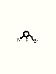 N#Cc1cccc(CCBr)c1F